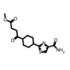 COC(=O)CCC(=O)C1CCC(c2nc(C(N)=O)cs2)CC1